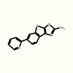 Cc1nc2c(s1)sc1cc(-c3ccccn3)ccc12